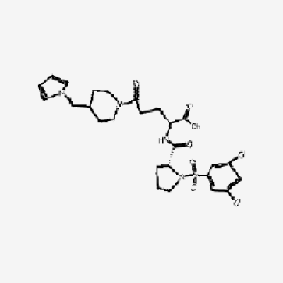 O=C(O)[C@H](CCC(=O)N1CCC(Cn2cccc2)CC1)NC(=O)[C@H]1CCCN1S(=O)(=O)c1cc(Cl)cc(Cl)c1